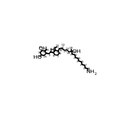 C=C1/C(=C\C=C2/CCC[C@]3(C)[C@@H]([C@H](C)CCCC(C)(O)CCCCCCCCCCN)CC[C@@H]23)C[C@@H](O)C[C@@H]1O